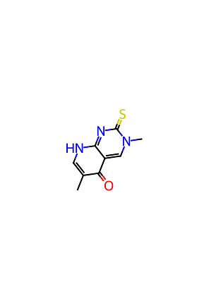 Cc1c[nH]c2nc(=S)n(C)cc2c1=O